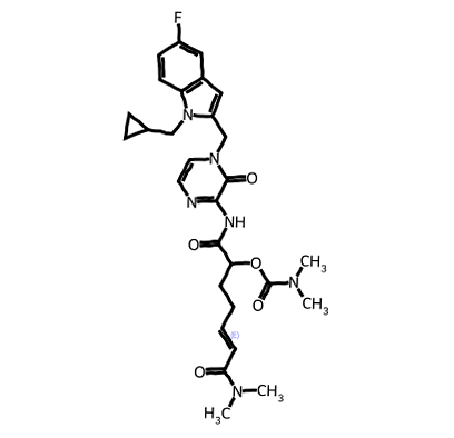 CN(C)C(=O)/C=C/CCC(OC(=O)N(C)C)C(=O)Nc1nccn(Cc2cc3cc(F)ccc3n2CC2CC2)c1=O